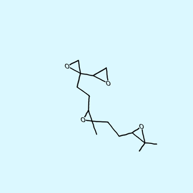 CC1(C)OC1CCC1(C)OC1CCC1(C2CO2)CO1